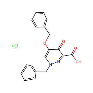 Cl.O=C(O)c1nn(Cc2ccccc2)cc(OCc2ccccc2)c1=O